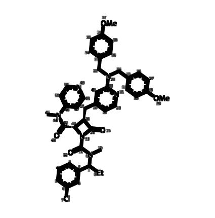 CCC(c1cccc(Cl)c1)N(C)C(=O)N1C(=O)[C@H](Cc2ccnc(N(Cc3ccc(OC)cc3)Cc3ccc(OC)cc3)c2)[C@H]1C(=O)N(C)c1ccncc1